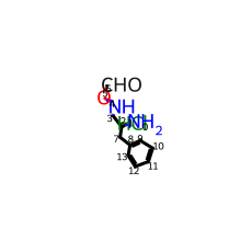 Cl.NC(CNOC=O)Cc1ccccc1